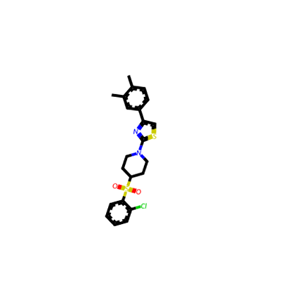 Cc1ccc(-c2csc(N3CCC(S(=O)(=O)c4ccccc4Cl)CC3)n2)cc1C